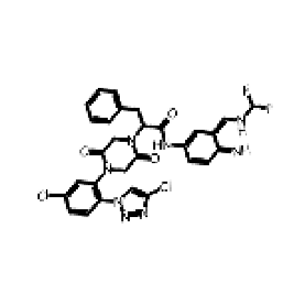 N=C1C=CC(NC(=O)C(Cc2ccccc2)N2CC(=O)N(c3cc(Cl)ccc3-n3cc(Cl)nn3)CC2=O)=C/C1=C/NC(F)F